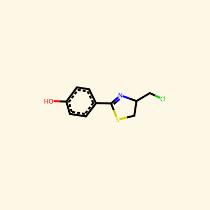 Oc1ccc(C2=NC(CCl)CS2)cc1